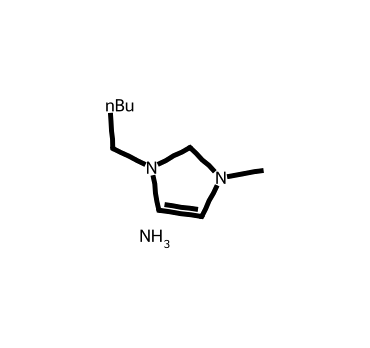 CCCCCN1C=CN(C)C1.N